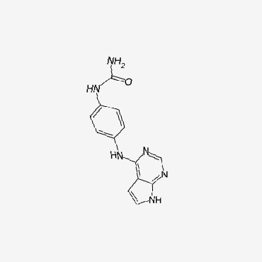 NC(=O)Nc1ccc(Nc2ncnc3[nH]ccc23)cc1